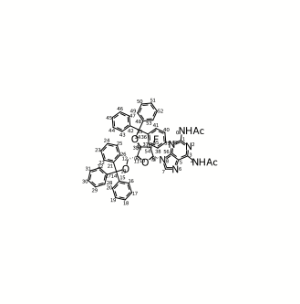 CC(=O)Nc1nc(NC(C)=O)c2ncn([C@@H]3O[C@H](COC(c4ccccc4)(c4ccccc4)c4ccccc4)[C@@H](OC(c4ccccc4)(c4ccccc4)c4ccccc4)[C@@H]3F)c2n1